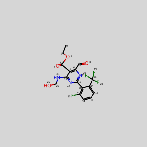 CCOC(=O)c1c(C=O)nc(-c2c(F)cccc2C(F)(F)F)nc1NCO